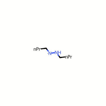 CCCC[N]NCCCC